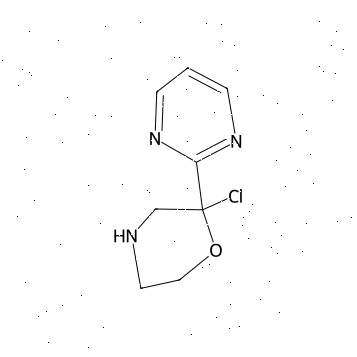 ClC1(c2ncccn2)CNCCO1